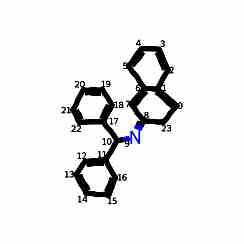 C1=c2ccccc2=CC(=NC(c2ccccc2)c2ccccc2)C1